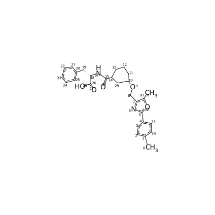 Cc1ccc(-c2nc(COC3CCCC(C(=O)N[C@@H](Cc4ccccc4)C(=O)O)C3)c(C)o2)cc1